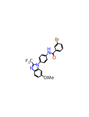 COc1ccc2nc(C(F)(F)F)n(-c3ccc(NC(=O)c4cccc(Br)c4)cc3)c2c1